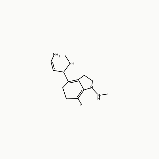 CNC(/C=C\N)C1=C2CCN(NC)C2=C(F)CC1